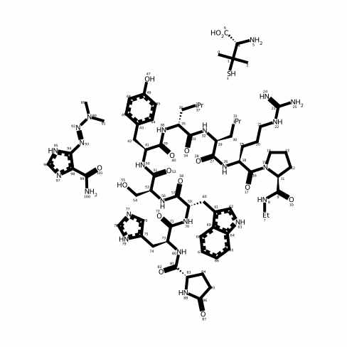 CC(C)(S)[C@@H](N)C(=O)O.CCNC(=O)[C@@H]1CCCN1C(=O)[C@H](CCCNC(=N)N)NC(=O)[C@H](CC(C)C)NC(=O)[C@@H](CC(C)C)NC(=O)[C@H](Cc1ccc(O)cc1)NC(=O)[C@H](CO)NC(=O)[C@H](Cc1c[nH]c2ccccc12)NC(=O)[C@H](Cc1cnc[nH]1)NC(=O)[C@@H]1CCC(=O)N1.CN(C)/N=N/c1[nH]cnc1C(N)=O